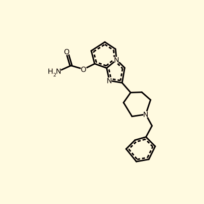 NC(=O)Oc1cccn2cc(C3CCN(Cc4ccccc4)CC3)nc12